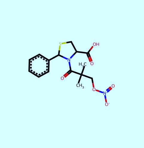 CC(C)(CO[N+](=O)[O-])C(=O)N1C(C(=O)O)CSC1c1ccccc1